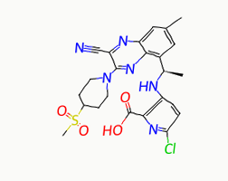 Cc1cc([C@@H](C)Nc2ccc(Cl)nc2C(=O)O)c2nc(N3CCC(S(C)(=O)=O)CC3)c(C#N)nc2c1